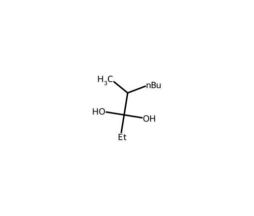 CCCCC(C)C(O)(O)CC